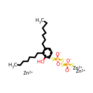 CCCCCCCc1cccc(O)c1CCCCCCC.[O-]P([O-])(=S)[S-].[O-]P([O-])(=S)[S-].[Zn+2].[Zn+2].[Zn+2]